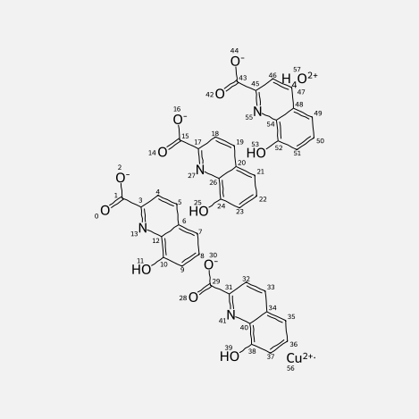 O=C([O-])c1ccc2cccc(O)c2n1.O=C([O-])c1ccc2cccc(O)c2n1.O=C([O-])c1ccc2cccc(O)c2n1.O=C([O-])c1ccc2cccc(O)c2n1.[Cu+2].[OH4+2]